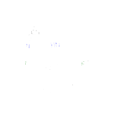 C#N.Fc1cccc(F)c1NC1CCC1